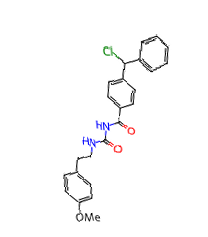 COc1ccc(CCNC(=O)NC(=O)c2ccc(C(Cl)c3ccccc3)cc2)cc1